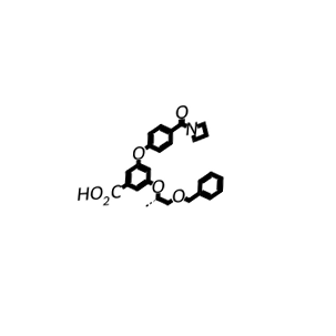 C[C@@H](COCc1ccccc1)Oc1cc(Oc2ccc(C(=O)N3CCC3)cc2)cc(C(=O)O)c1